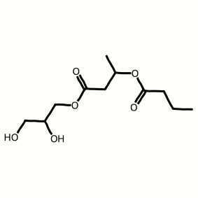 CCCC(=O)OC(C)CC(=O)OCC(O)CO